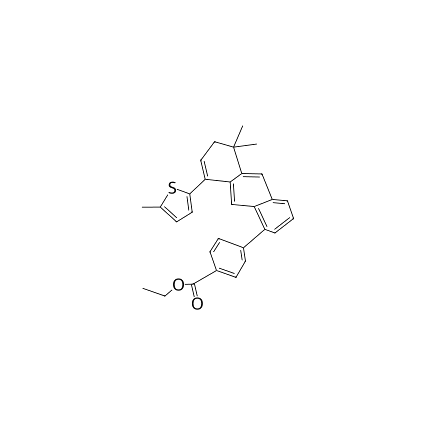 CCOC(=O)c1ccc(-c2cccc3cc4c(cc23)C(c2ccc(C)s2)=CCC4(C)C)cc1